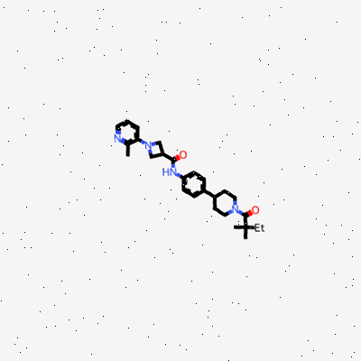 CCC(C)(C)C(=O)N1CCC(c2ccc(NC(=O)C3CN(c4cccnc4C)C3)cc2)CC1